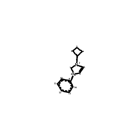 C1=CN(C2CCC2)CN1c1ccccc1